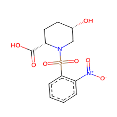 O=C(O)[C@@H]1CC[C@H](O)CN1S(=O)(=O)c1ccccc1[N+](=O)[O-]